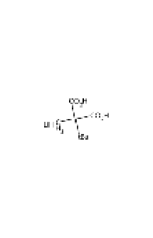 CC(C)(C)C(C)(C(=O)O)C(=O)O.[LiH]